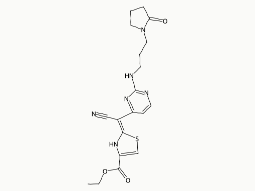 CCOC(=O)C1=CSC(=C(C#N)c2ccnc(NCCCN3CCCC3=O)n2)N1